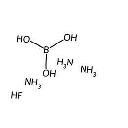 F.N.N.N.OB(O)O